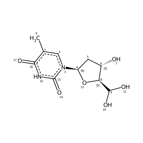 Cc1cn([C@H]2C[C@H](O)[C@@H](C(O)O)O2)c(=O)[nH]c1=O